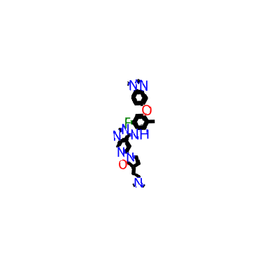 Cc1cc(Nc2ncnc3cnc(N4CC/C(=C\CN(C)C)C4=O)cc23)c(F)cc1Oc1ccc2c(c1)ncn2C